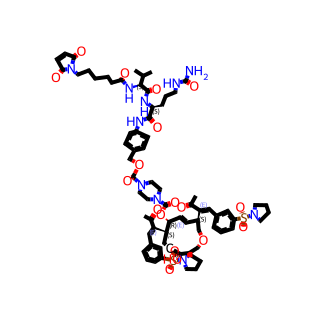 CC(=O)/C(=C/c1cccc(S(=O)(=O)N2CCCC2)c1)[C@@H]1/C=C/[C@@H](OC(=O)N2CCN(C(=O)OCc3ccc(NC(=O)[C@H](CCCNC(N)=O)NC(=O)[C@@H](NC(=O)CCCCCN4C(=O)C=CC4=O)C(C)C)cc3)CC2)[C@H](/C(=C\c2cccc(S(=O)(=O)N3CCCC3)c2)C(C)=O)CC[C@@H](O)CCOC1